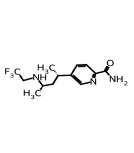 C[C@H](C[C@H](C)c1ccc(C(N)=O)nc1)NCC(F)(F)F